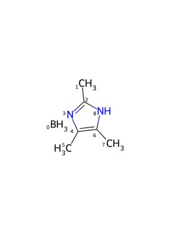 B.Cc1nc(C)c(C)[nH]1